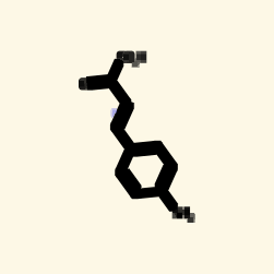 Nc1ccc(/C=C/C(=O)C(=O)O)cc1